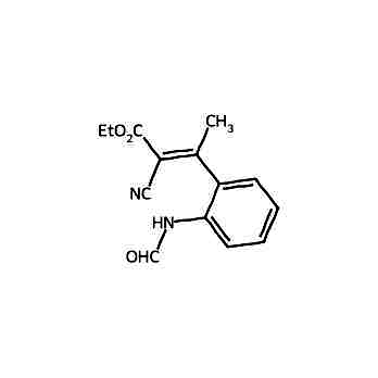 CCOC(=O)C(C#N)=C(C)c1ccccc1NC=O